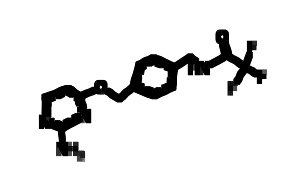 Nc1nccc(OCc2ccc(CNC(=O)C(F)(F)F)cc2)n1